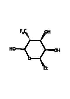 CC[C@H]1OC(O)[C@H](C(F)(F)F)[C@@H](O)[C@H]1O